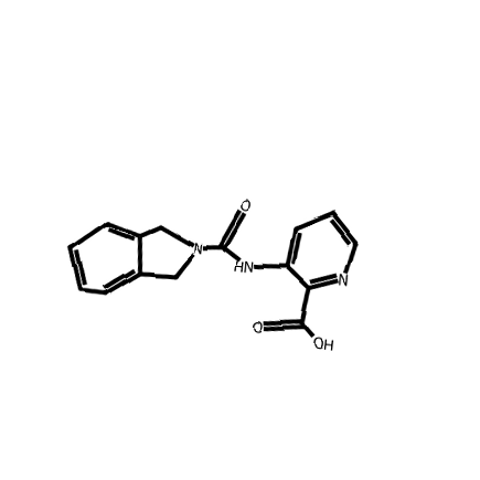 O=C(O)c1ncccc1NC(=O)N1Cc2ccccc2C1